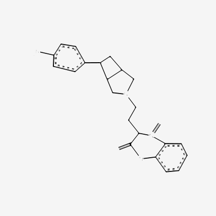 Nc1ccc(C2CC3CN(CCC4C(=O)Nc5ccccc5[N+]4=O)CC32)cc1